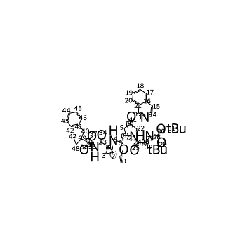 C=C[C@@H]1C[C@]1(NC(=O)[C@@H]1C[C@@H](Oc2nccc3ccccc23)CN1C(=O)[C@@H](NC(=O)OC(C)(C)C)C(C)(C)C)C(=O)NS(=O)(=O)C1(Cc2ccccc2)CC1